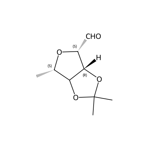 C[C@@H]1O[C@H](C=O)[C@@H]2OC(C)(C)OC12